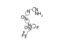 Nc1cc(CN2CCC(C(=O)N3CCC(n4c(=O)n(CCCC(F)(F)F)c5cc(F)ccc54)CC3)CC2)ccn1